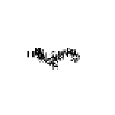 O=C(Nc1ccc(N2CCC(Oc3ccccc3)C2)cc1)c1cc(-c2ccc3[nH]nnc3n2)ccc1F